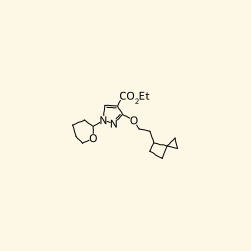 CCOC(=O)c1cn(C2CCCCO2)nc1OCCC1CCC12CC2